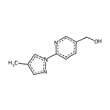 Cc1cnn(-c2ccc(CO)cn2)c1